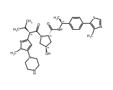 Cc1ncsc1-c1ccc([C@H](C)NC(=O)[C@@H]2C[C@@H](O)CN2C(=O)[C@@H](c2cc(N3CCNCC3)n(C)n2)C(C)C)cc1